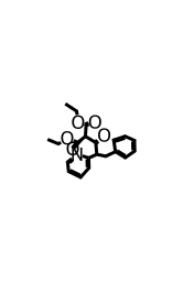 CCOC(=O)C(C(=O)OCC)C(=O)C(Cc1ccccc1)c1ccccn1